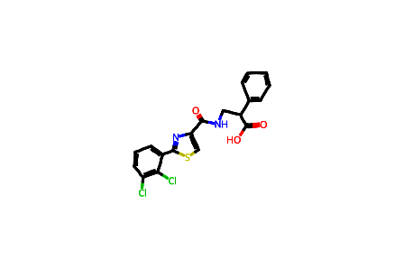 O=C(NCC(C(=O)O)c1ccccc1)c1csc(-c2cccc(Cl)c2Cl)n1